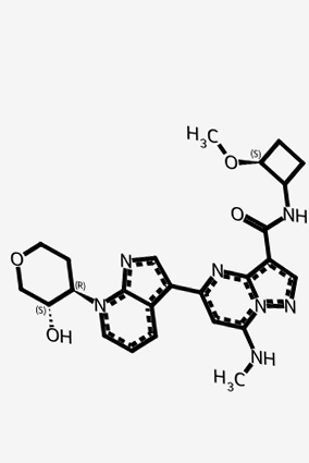 CNc1cc(-c2cnc3n([C@@H]4CCOC[C@H]4O)cccc2-3)nc2c(C(=O)NC3CC[C@@H]3OC)cnn12